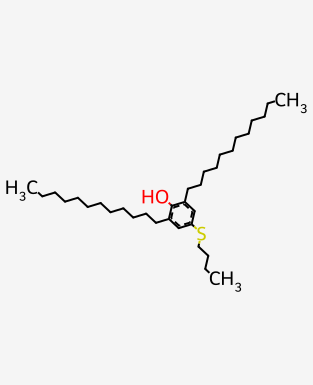 CCCCCCCCCCCCc1cc(SCCCC)cc(CCCCCCCCCCCC)c1O